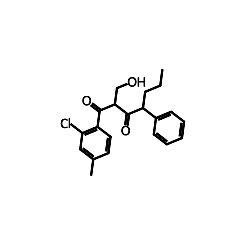 CCCC(C(=O)C(CO)C(=O)c1ccc(C)cc1Cl)c1ccccc1